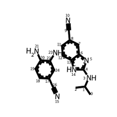 CC(C)Nc1nc2cc(C#N)ccc2[nH]1.N#Cc1ccc(N)c(N)c1